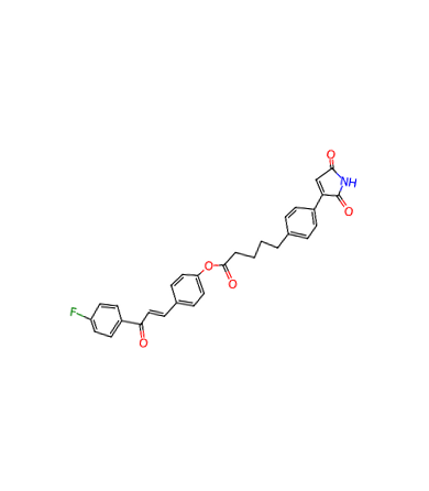 O=C1C=C(c2ccc(CCCCC(=O)Oc3ccc(C=CC(=O)c4ccc(F)cc4)cc3)cc2)C(=O)N1